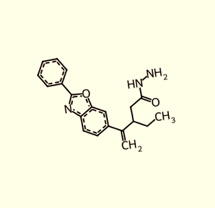 C=C(c1ccc2nc(-c3ccccc3)oc2c1)C(CC)CC(=O)NN